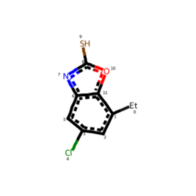 CCc1cc(Cl)cc2nc(S)oc12